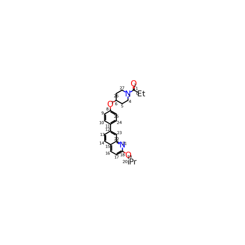 CCC(=O)N1CCC(Oc2ccc(-c3ccc4ccc(OC(C)C)nc4c3)cc2)CC1